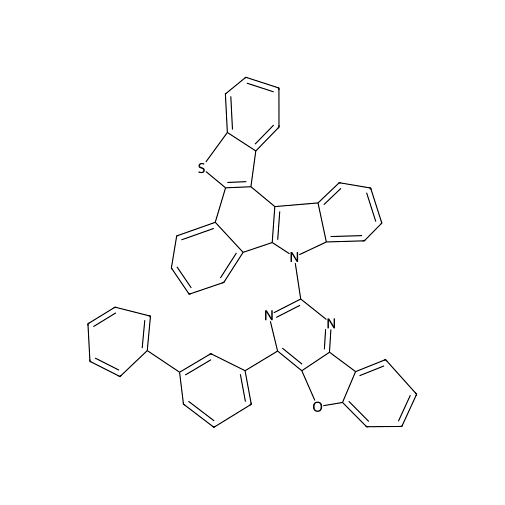 c1ccc(-c2cccc(-c3nc(-n4c5ccccc5c5c6c7ccccc7sc6c6ccccc6c54)nc4c3oc3ccccc34)c2)cc1